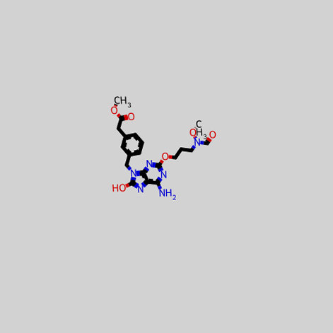 COC(=O)Cc1cccc(Cn2c(O)nc3c(N)nc(OCCCN(C=O)OC)nc32)c1